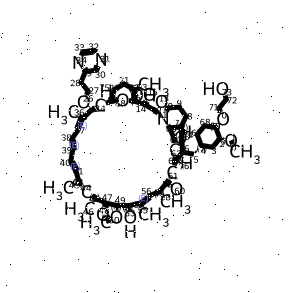 CO[C@@H]1C[C@H](CC2[C@H]3CCCN4C(=O)C(=O)[C@]5(O)O[C@@H](CC[C@H]5C)CC(OCCc5cnccn5)/C(C)=C/C=C/C=C/[C@@H](C)C[C@@H](C)C(=O)[C@H](OC)[C@H](O)/C(C)=C/[C@@H](C)C(=O)C[C@@H]2OC(=O)C34)CC[C@H]1OCCO